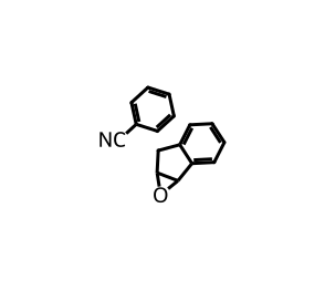 N#Cc1ccccc1.c1ccc2c(c1)CC1OC21